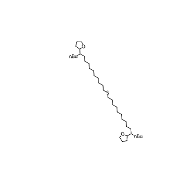 CCCCC(CCCCCCCCCCSCCCCCCCCCCC(CCCC)C1CCCO1)C1CCCO1